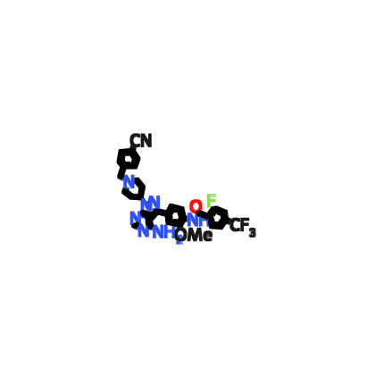 COc1cc(-c2nn(C3CCN(Cc4ccc(C#N)cc4)CC3)c3ncnc(N)c23)ccc1NC(=O)c1ccc(C(F)(F)F)cc1F